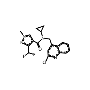 Cn1cc(C(=O)N(Cc2cc(Cl)nc3ccccc23)C2CC2)c(C(F)F)n1